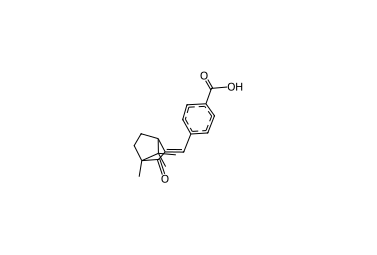 CC12CCC(C(=Cc3ccc(C(=O)O)cc3)C1=O)C2(C)C